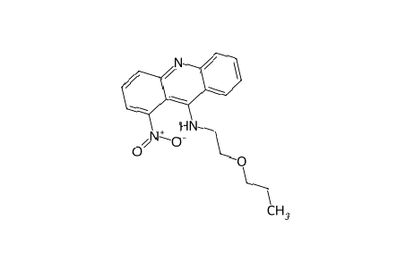 CCCOCCNc1c2ccccc2nc2cccc([N+](=O)[O-])c12